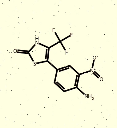 Nc1ccc(-c2sc(=O)[nH]c2C(F)(F)F)cc1[N+](=O)[O-]